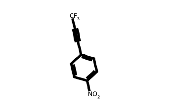 O=[N+]([O-])c1ccc(C#CC(F)(F)F)cc1